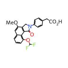 COc1cc2cccc(OC(F)F)c2c2c1CN(c1ccc(CC(=O)O)cc1)C2=O